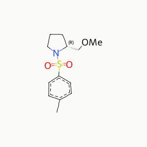 COC[C@H]1CCCN1S(=O)(=O)c1ccc(C)cc1